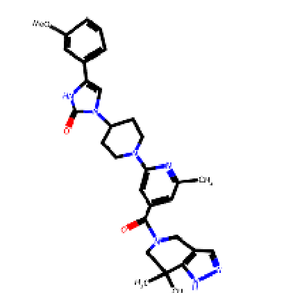 COc1cccc(-c2cn(C3CCN(c4cc(C(=O)N5Cc6cn[nH]c6C(C)(C)C5)cc(C)n4)CC3)c(=O)[nH]2)c1